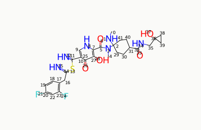 CNC1(N(C)C(=O)c2[nH]cc(C(=N)SC(=N)Cc3ccc(F)cc3F)c(=O)c2O)CCC(C(=O)NCC2(O)CC2)CC1